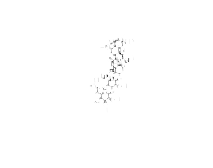 CO[C@@H]1C=C2[C@@H]3CC(C)(C)CC[C@]3(CO)C(O)C[C@@]2(C)[C@]2(C)CC[C@H]3[C@](C)(CO)[C@@H](O[C@@H]4O[C@H](C)[C@H](O)[C@H](O[C@@H]5O[C@H](CCO)[C@@H](O)[C@H](O)[C@H]5O)[C@H]4O)CC[C@]3(C)[C@@H]12